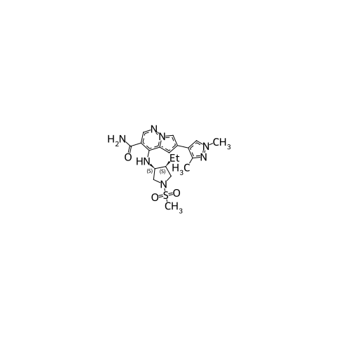 CC[C@H]1CN(S(C)(=O)=O)C[C@H]1Nc1c(C(N)=O)cnn2cc(-c3cn(C)nc3C)cc12